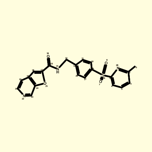 Cc1cccc(S(=O)(=O)c2ccc(CNC(=O)c3cc4ccncc4o3)cc2)n1